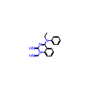 CCN(c1ccccc1)c1nc(=N)n(C=N)c2ccccc12